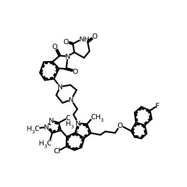 Cc1nn(C)c(C)c1-c1c(Cl)ccc2c(CCCOc3cccc4cc(F)ccc34)c(C)n(CCN3CCN(c4cccc5c4C(=O)N(C4CCC(=O)NC4=O)C5=O)CC3)c12